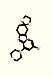 Brc1cc(N2CCOCC2)c2nc3c(n2c1)CC1(CC3)OCCO1